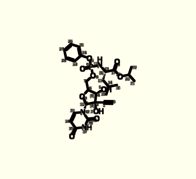 C#C[C@@]1(O)[C@H](O)C(COP(=O)(N[C@@H](CC(C)C)C(=O)OC(C)C)Oc2ccccc2)O[C@H]1n1ccc(=O)[nH]c1=O